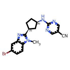 Cn1c([C@H]2CC[C@@H](Nc3ncc(C#N)cn3)C2)nc2cc(Br)ccc21